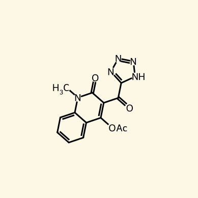 CC(=O)Oc1c(C(=O)c2nnn[nH]2)c(=O)n(C)c2ccccc12